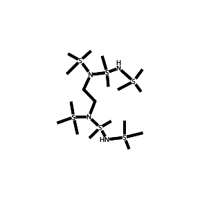 CS(C)(C)NS(C)(C)N(CCN(S(C)(C)C)S(C)(C)NS(C)(C)C)S(C)(C)C